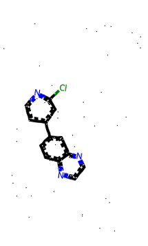 Clc1cc(-c2ccc3nccnc3c2)ccn1